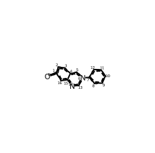 O=c1ccc2cn(-c3ccccc3)cnc-2c1